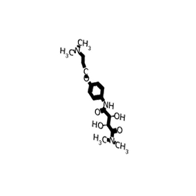 CN(C)CCCOc1ccc(NC(=O)[C@H](O)[C@@H](O)C(=O)N(C)C)cc1